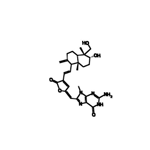 C=C1CCC2[C@](C)(CC[C@@H](O)[C@@]2(C)CO)C1/C=C/C1=CC(=C\c2nc3c(=O)[nH]c(N)nc3n2C)/OC1=O